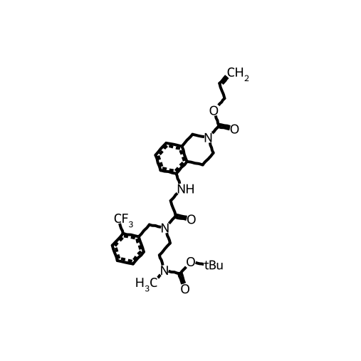 C=CCOC(=O)N1CCc2c(cccc2NCC(=O)N(CCN(C)C(=O)OC(C)(C)C)Cc2ccccc2C(F)(F)F)C1